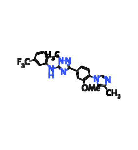 COc1cc(-c2nc(Nc3cccc(C(F)(F)F)c3)n(C)n2)ccc1-n1cnc(C)c1